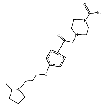 CCC(=O)N1CCN(CC(=O)c2ccc(OCCCN3CCCC3C)cc2)CC1